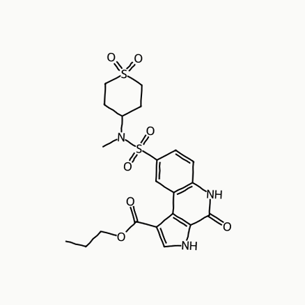 CCCOC(=O)c1c[nH]c2c(=O)[nH]c3ccc(S(=O)(=O)N(C)C4CCS(=O)(=O)CC4)cc3c12